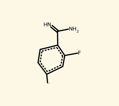 [CH2]c1ccc(C(=N)N)c(F)c1